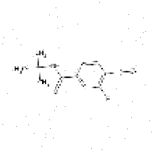 CC(C)(C)NC(=O)c1ccc(C#N)c(F)c1